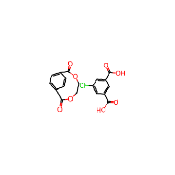 O=C(O)c1cc(Cl)cc(C(=O)O)c1.O=C1OCCOC(=O)c2ccc1cc2